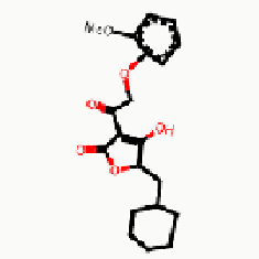 COc1ccccc1OCC(=O)C1=C(O)C(CC2CCCCC2)OC1=O